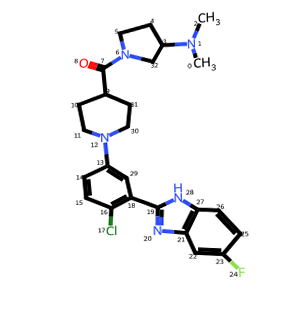 CN(C)C1CCN(C(=O)C2CCN(c3ccc(Cl)c(-c4nc5cc(F)ccc5[nH]4)c3)CC2)C1